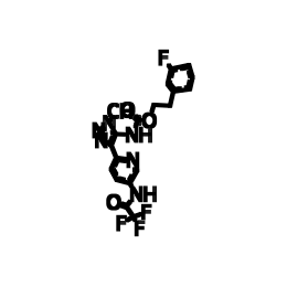 Cn1nnc(-c2ccc(NC(=O)C(F)(F)F)cn2)c1NC(=O)OCCc1cccc(F)c1